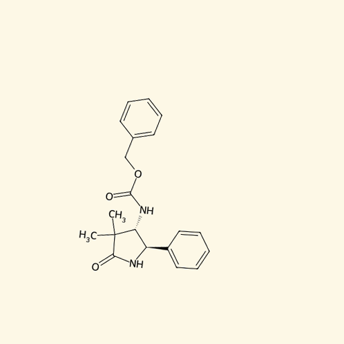 CC1(C)C(=O)N[C@H](c2ccccc2)[C@H]1NC(=O)OCc1ccccc1